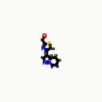 O=Cc1nc(-c2cnn3ccccc23)cs1